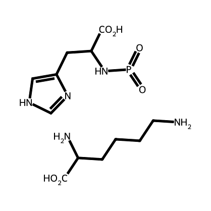 NCCCCC(N)C(=O)O.O=C(O)C(Cc1c[nH]cn1)NP(=O)=O